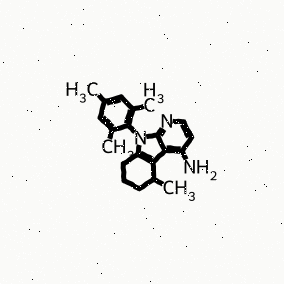 Cc1cc(C)c(-n2c3c(c4c(N)ccnc42)C(C)CCC3)c(C)c1